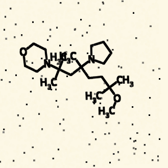 COC(C)(C)CCC(C)(CC(C)(C)N1CCOCC1)N1CCCC1